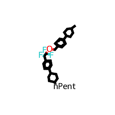 CCCCCC1CCC(c2ccc(C(F)C(F)(F)OCc3ccc(C4CCC(C)CC4)cc3)cc2)CC1